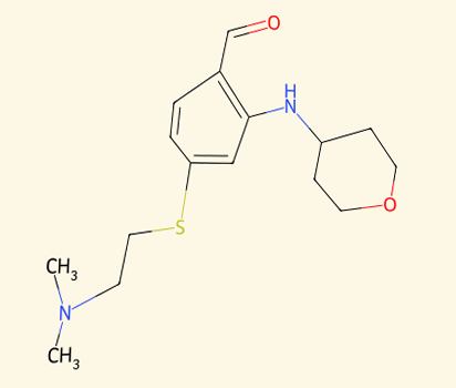 CN(C)CCSc1ccc(C=O)c(NC2CCOCC2)c1